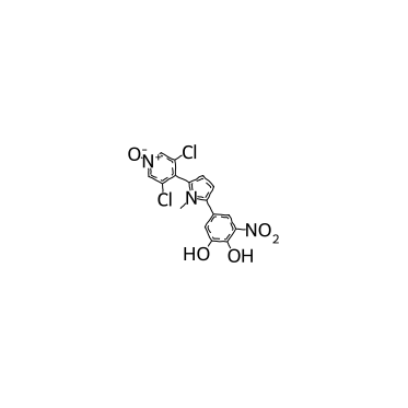 Cn1c(-c2cc(O)c(O)c([N+](=O)[O-])c2)ccc1-c1c(Cl)c[n+]([O-])cc1Cl